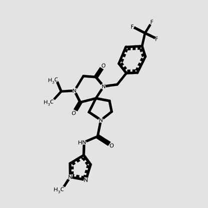 CC(C)N1CC(=O)N(Cc2ccc(C(F)(F)F)cc2)C2(CCN(C(=O)Nc3cnn(C)c3)C2)C1=O